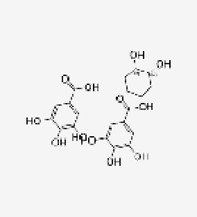 O=C(O)c1cc(O)c(O)c(O)c1.O=C(O)c1cc(O)c(O)c(O)c1.O[C@@H]1CCCC[C@H]1O